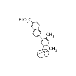 CCOC(=O)c1ccc2cc(-c3cc(C45CC6CC(CC(C6)C4)C5)c(C)cc3C)ccc2c1